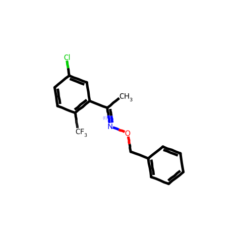 C/C(=N\OCc1ccccc1)c1cc(Cl)ccc1C(F)(F)F